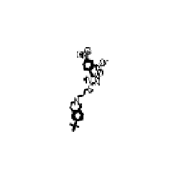 Cn1c(SCCCN2CCc3cc(C(C)(C)C)ccc3C2)nnc1-c1ccc([N+](=O)[O-])cc1[N+](=O)[O-]